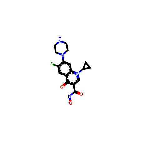 O=NC(=O)c1cn(C2CC2)c2cc(N3CCNCC3)c(F)cc2c1=O